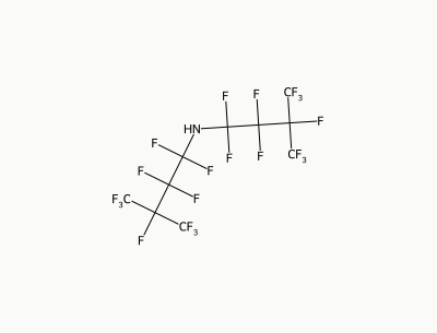 FC(F)(F)C(F)(C(F)(F)F)C(F)(F)C(F)(F)NC(F)(F)C(F)(F)C(F)(C(F)(F)F)C(F)(F)F